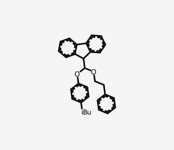 CCC(C)c1ccc(OC(OCCc2ccccc2)C2c3ccccc3-c3ccccc32)cc1